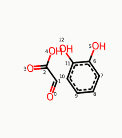 O=CC(=O)O.Oc1ccccc1O